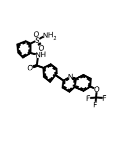 NS(=O)(=O)c1ccccc1NC(=O)c1ccc(-c2ccc3cc(OC(F)(F)F)ccc3n2)cc1